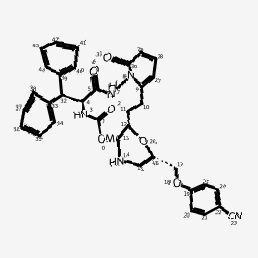 COC(=O)N[C@H](C(=O)Nn1c(CC[C@@H]2CNC[C@@H](COc3ccc(C#N)cc3)O2)cccc1=O)C(c1ccccc1)c1ccccc1